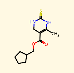 CC1=C(C(=O)OCC2CCCC2)CNC(=S)N1